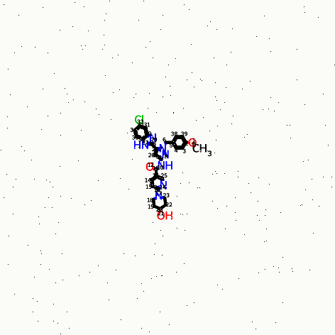 COc1ccc(Cn2nc(NC(=O)c3ccc(N4CCC(O)CC4)nc3)cc2-c2nc3cc(Cl)ccc3[nH]2)cc1